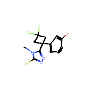 Cn1c(S)nnc1C1(c2cccc(Br)c2)CC(F)(F)C1